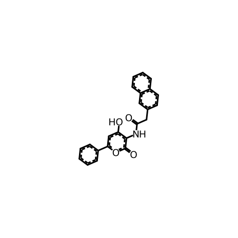 O=C(Cc1ccc2ccccc2c1)Nc1c(O)cc(-c2ccccc2)oc1=O